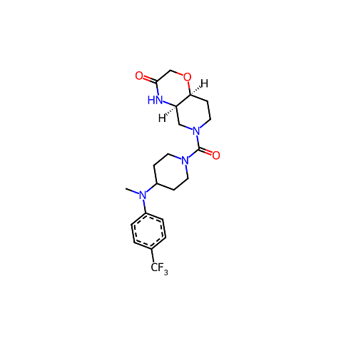 CN(c1ccc(C(F)(F)F)cc1)C1CCN(C(=O)N2CC[C@@H]3OCC(=O)N[C@@H]3C2)CC1